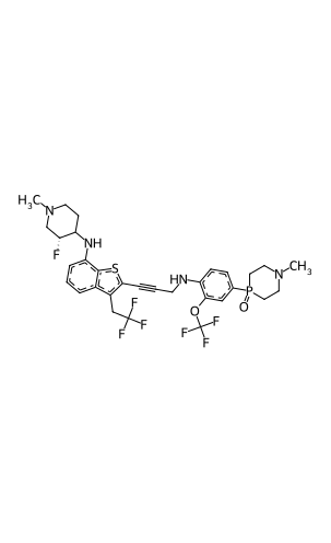 CN1CCP(=O)(c2ccc(NCC#Cc3sc4c(NC5CCN(C)C[C@H]5F)cccc4c3CC(F)(F)F)c(OC(F)(F)F)c2)CC1